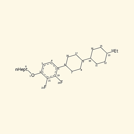 CCCCCCCOc1ccc(C2CCC(C3CCC(CC)CC3)CC2)c(F)c1F